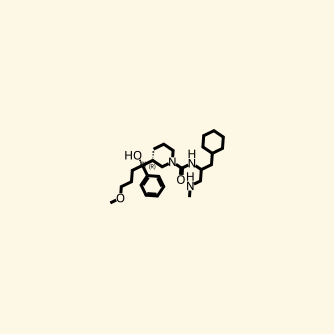 CNCC(CC1CCCCC1)NC(=O)N1CCC[C@@H]([C@](O)(CCCOC)c2ccccc2)C1